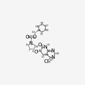 Cn1c(=O)c(O[C@@H]2CCN(C(=O)OCc3ccccc3)C2)cc2c(Cl)ncnc21